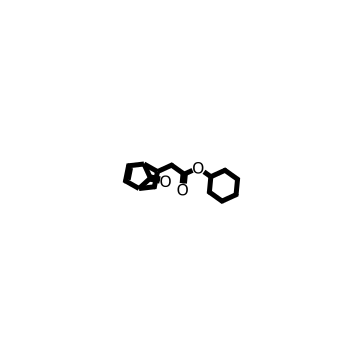 O=C(CC1CC2C=CC1C2=O)OC1CCCCC1